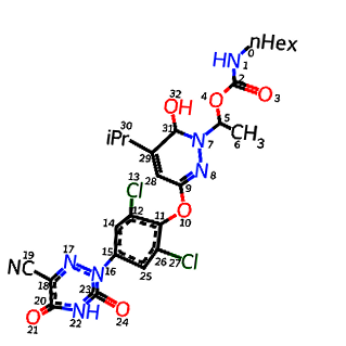 CCCCCCNC(=O)OC(C)N1N=C(Oc2c(Cl)cc(-n3nc(C#N)c(=O)[nH]c3=O)cc2Cl)C=C(C(C)C)C1O